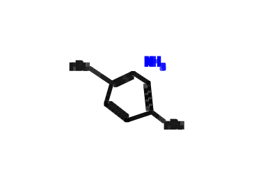 CCCCc1ccc(CCCC)cc1.N